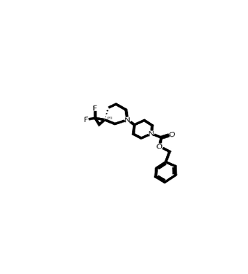 O=C(OCc1ccccc1)N1CCC(N2CCC[C@]3(C2)CC3(F)F)CC1